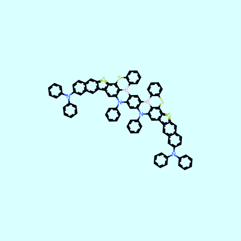 c1ccc(N(c2ccccc2)c2ccc3cc4sc5c6c7c(cc5c4cc3c2)N(c2ccccc2)c2cc3c(cc2B7c2ccccc2S6)B2c4ccccc4Sc4c2c(cc2c4sc4cc5ccc(N(c6ccccc6)c6ccccc6)cc5cc42)N3c2ccccc2)cc1